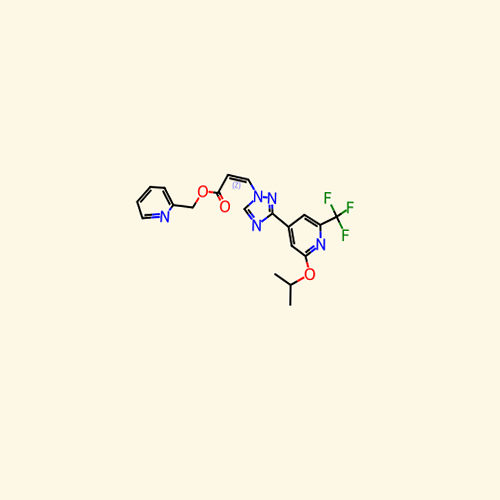 CC(C)Oc1cc(-c2ncn(/C=C\C(=O)OCc3ccccn3)n2)cc(C(F)(F)F)n1